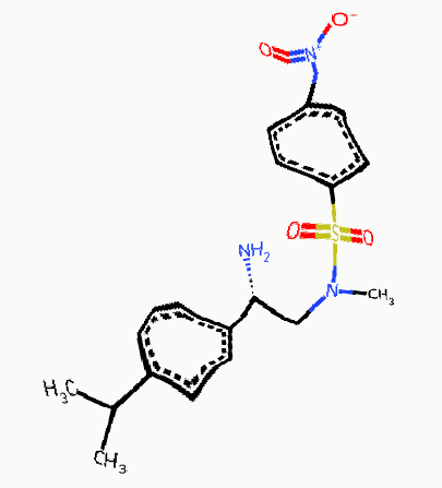 CC(C)c1ccc([C@H](N)CN(C)S(=O)(=O)c2ccc([N+](=O)[O-])cc2)cc1